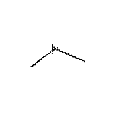 CCCCCCCCCCCCCCCCCCCOc1cc(CC)cc(OCCCCCCCCCCCCCCCCCCC)c1